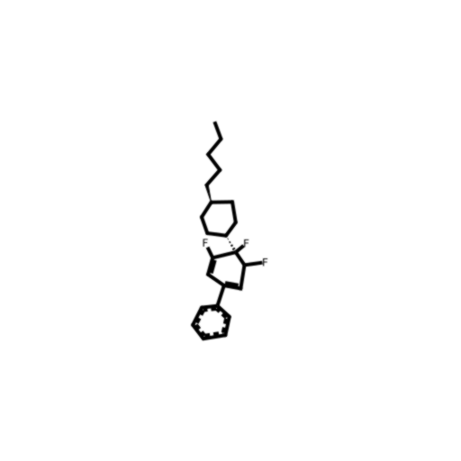 CCCCC[C@H]1CC[C@H](C2(F)C(F)=CC(c3ccccc3)=CC2F)CC1